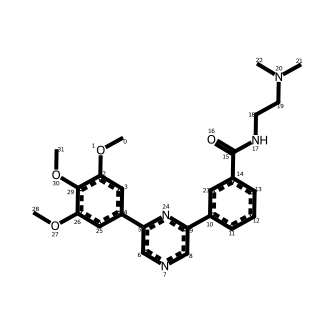 COc1cc(-c2cncc(-c3cccc(C(=O)NCCN(C)C)c3)n2)cc(OC)c1OC